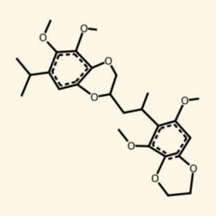 COc1cc2c(c(OC)c1C(C)CC1COc3c(cc(C(C)C)c(OC)c3OC)O1)OCCO2